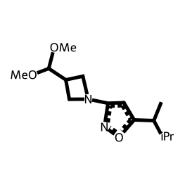 COC(OC)C1CN(c2cc(C(C)C(C)C)on2)C1